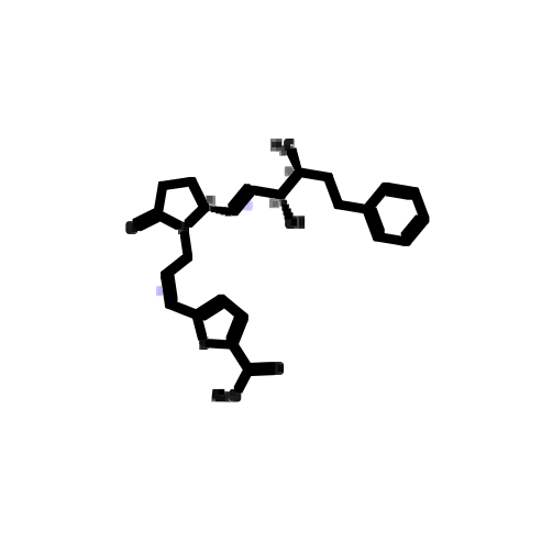 COC(=O)c1ccc(/C=C\CN2C(=O)CC[C@@H]2/C=C/[C@@H](O)[C@@H](C)CCc2ccccc2)s1